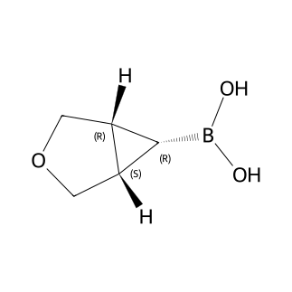 OB(O)[C@@H]1[C@@H]2COC[C@@H]21